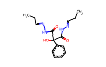 CCC=NNC(=O)C(O)(C(=O)NN=CCC)c1ccccc1